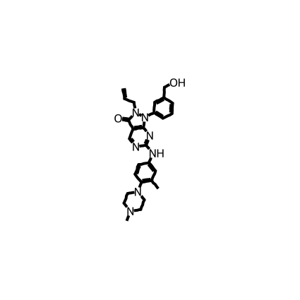 C=CCn1c(=O)c2cnc(Nc3ccc(N4CCN(C)CC4)c(C)c3)nc2n1-c1cccc(CO)c1